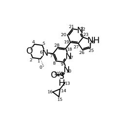 C[C@@H]1COCCN1c1cc(/N=[SH](=O)/CC2CC2)nc(-c2ccnc3[nH]ccc23)c1